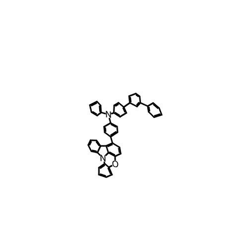 c1ccc(-c2cccc(-c3ccc(N(c4ccccc4)c4ccc(-c5ccc6c7c5c5ccccc5n7-c5ccccc5O6)cc4)cc3)c2)cc1